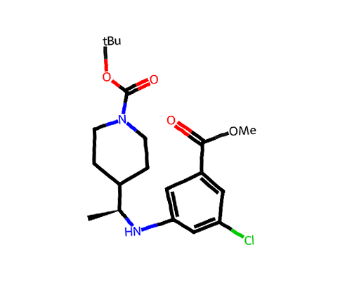 COC(=O)c1cc(Cl)cc(N[C@@H](C)C2CCN(C(=O)OC(C)(C)C)CC2)c1